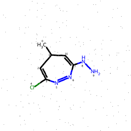 CC1C=C(Cl)N=NC(NN)=C1